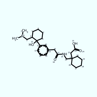 CN(C)CC1CCCCC1(O)c1cccc(CC(=O)NCC2(CC(=O)O)CCCCC2)c1